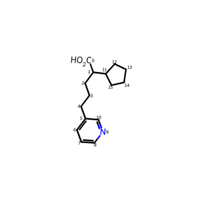 O=C(O)C(CCCc1cccnc1)C1CCCC1